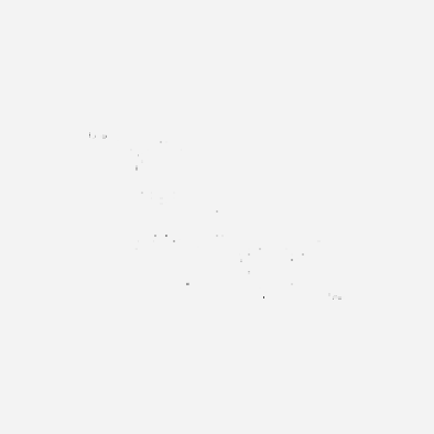 COc1ccc2oc(-c3ccc(OC)c(F)c3)c(F)c(=O)c2c1